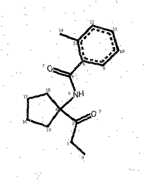 CCC(=O)C1(NC(=O)c2ccccc2C)CCCC1